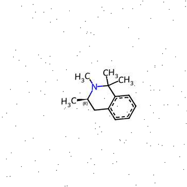 C[C@@H]1Cc2ccccc2C(C)(C)N1C